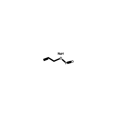 C=CCOP=O.[NaH]